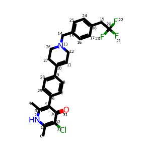 Cc1[nH]c(C)c(-c2ccc(C3=CCN(Cc4ccc(CC(F)(F)F)cc4)CC3)cc2)c(=O)c1Cl